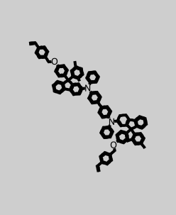 C=Cc1ccc(COc2ccc(C3(c4ccc(C)cc4C)C4=C(CCC(N(c5ccccc5)c5ccc(-c6ccc(N(c7ccccc7)c7ccc8c(c7)C(c7ccc(OCc9ccc(C=C)cc9)cc7)(c7cc(C)ccc7C)c7ccccc7-8)cc6)cc5)=C4)c4ccccc43)cc2)cc1